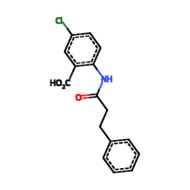 O=C(CCc1ccccc1)Nc1ccc(Cl)cc1C(=O)O